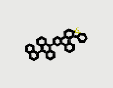 c1ccc2c(-c3c4ccccc4c(-c4ccc5c(c4)c4ccccc4c4c5ccc5sc6ccccc6c54)c4ccccc34)cccc2c1